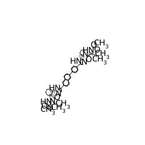 COC(=O)N[C@H](C(=O)N1CCC[C@H]1c1ncc(-c2ccc(-c3ccc4cc(-c5cnc([C@H]6CCCC[C@H]6C(=O)N(NC(=O)OC)C(C)C)[nH]5)ccc4c3)cc2)[nH]1)C(C)C